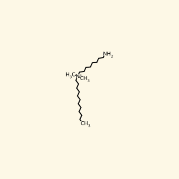 CCCCCCCCCCCC[N+](C)(C)CCCCCCCCN